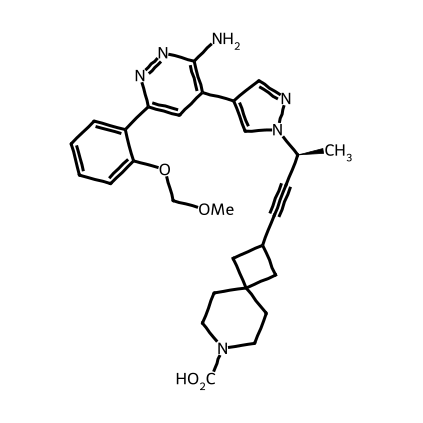 COCOc1ccccc1-c1cc(-c2cnn([C@@H](C)C#CC3CC4(CCN(C(=O)O)CC4)C3)c2)c(N)nn1